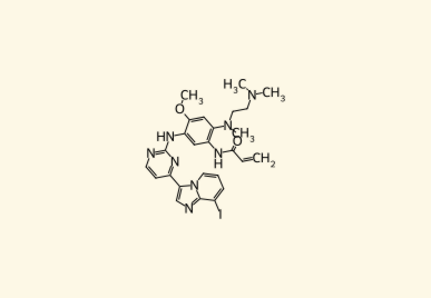 C=CC(=O)Nc1cc(Nc2nccc(-c3cnc4c(I)cccn34)n2)c(OC)cc1N(C)CCN(C)C